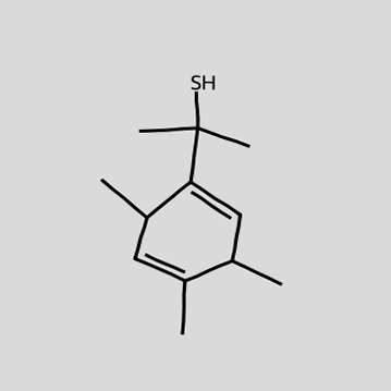 CC1=CC(C)C(C(C)(C)S)=CC1C